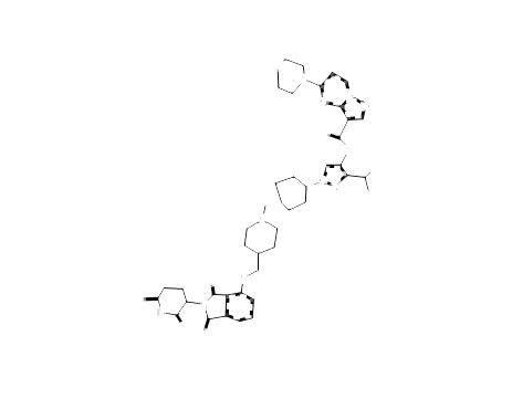 O=C1CCC(N2C(=O)c3cccc(NCC4CCN(C[C@H]5CC[C@H](n6cc(NC(=O)c7cnn8ccc(N9CCOCC9)nc78)c(C(F)F)n6)CC5)CC4)c3C2=O)C(=O)N1